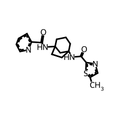 Cc1cnc(C(=O)NC23CCCC(NC(=O)c4ccccn4)(CC2)C3)s1